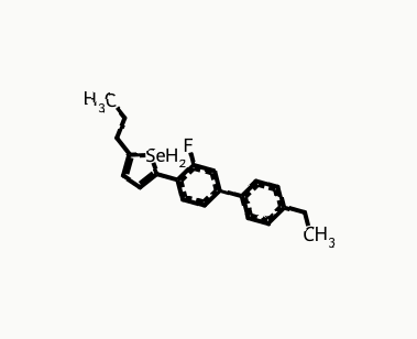 CCCC1=CC=C(c2ccc(-c3ccc(CC)cc3)cc2F)[SeH2]1